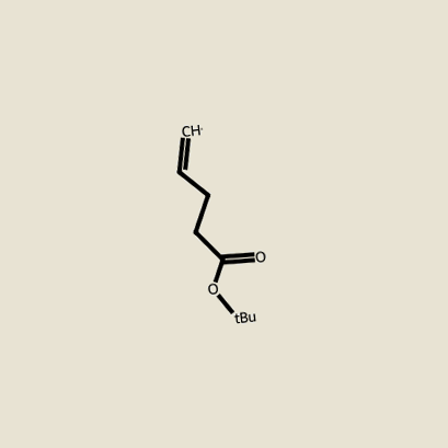 [CH]=CCCC(=O)OC(C)(C)C